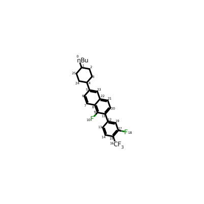 CCCCC1CCC(c2ccc3c(F)c(-c4ccc(C(F)(F)F)c(F)c4)ccc3c2)CC1